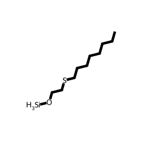 CCCCCCCCSCCO[SiH3]